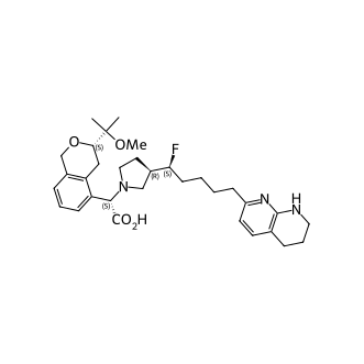 COC(C)(C)[C@@H]1Cc2c(cccc2[C@@H](C(=O)O)N2CC[C@@H]([C@@H](F)CCCCc3ccc4c(n3)NCCC4)C2)CO1